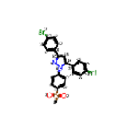 CS(=O)(=O)c1ccc(-n2nc(-c3ccc(Br)cc3)cc2-c2ccc(Cl)cc2)cc1